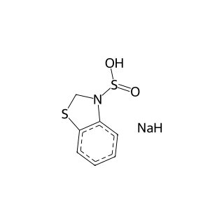 O=S(O)N1CSc2ccccc21.[NaH]